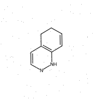 C1=CC2=C(C=C[N]N2)CC1